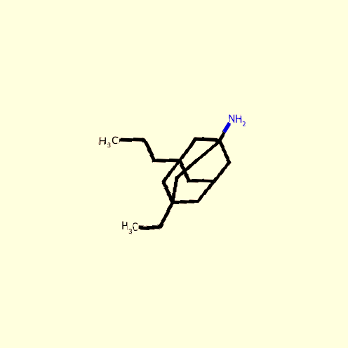 CCCC12CC3CC(N)(CC(CC)(C3)C1)C2